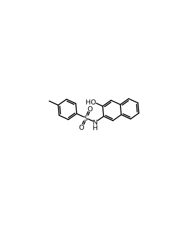 Cc1ccc(S(=O)(=O)Nc2cc3ccccc3cc2O)cc1